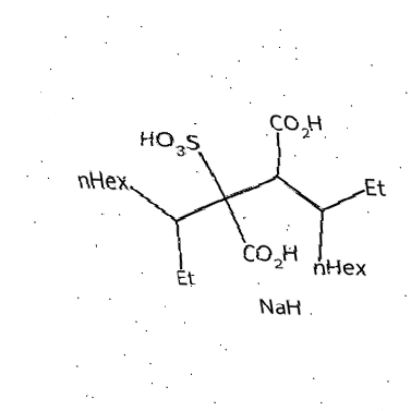 CCCCCCC(CC)C(C(=O)O)C(C(=O)O)(C(CC)CCCCCC)S(=O)(=O)O.[NaH]